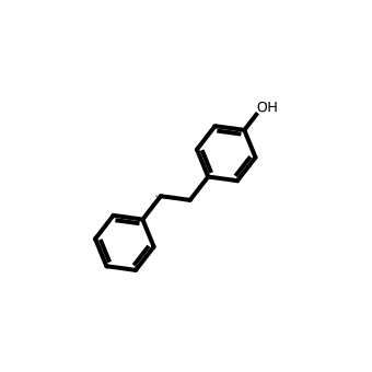 Oc1ccc(C[CH]c2ccccc2)cc1